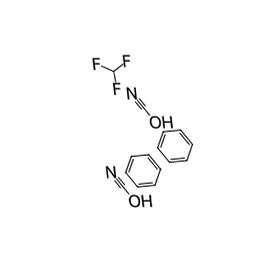 FC(F)F.N#CO.N#CO.c1ccccc1.c1ccccc1